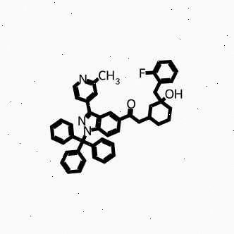 Cc1cc(-c2nn(C(c3ccccc3)(c3ccccc3)c3ccccc3)c3ccc(C(=O)CC4CCCC(O)(Cc5ccccc5F)C4)cc23)ccn1